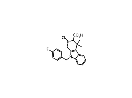 CC1(C)c2c(n(Cc3ccc(F)cc3)c3ccccc23)CN(Cl)C1C(=O)O